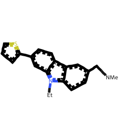 CCn1c2ccc(CNC)cc2c2ccc(-c3cccs3)cc21